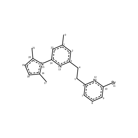 Cc1cc(CCc2cccc(Br)n2)nc(-n2c(C)ccc2C)c1